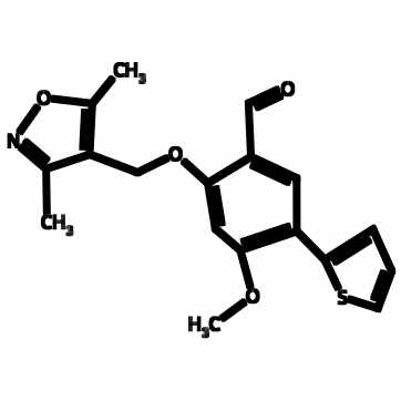 COc1cc(OCc2c(C)noc2C)c(C=O)cc1-c1cccs1